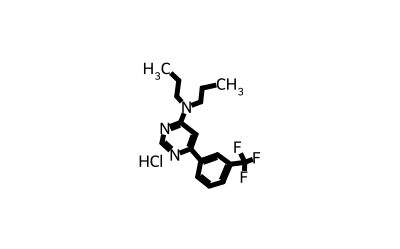 CCCN(CCC)c1cc(-c2cccc(C(F)(F)F)c2)ncn1.Cl